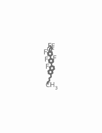 CCCCCc1ccc2c(F)c(-c3cc(F)c(-c4ccc(OC(F)(F)F)c(F)c4)c(F)c3)ccc2c1